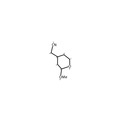 COC1CC(CC#N)CCO1